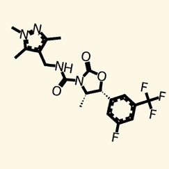 Cc1nn(C)c(C)c1CNC(=O)N1C(=O)O[C@H](c2cc(F)cc(C(F)(F)F)c2)[C@@H]1C